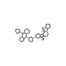 c1ccc(-c2c3ccccc3c(-c3cccc(-c4ccc5c(c4)sc4ccc6c7ccccc7sc6c45)c3)c3ccccc23)cc1